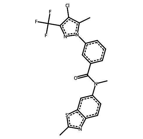 Cc1nc2ccc(N(C)C(=O)c3cccc(-n4nc(C(F)(F)F)c(Cl)c4C)c3)cc2s1